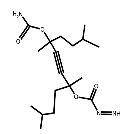 CC(C)CCC(C)(C#CC(C)(CCC(C)C)OC(=O)N=N)OC(N)=O